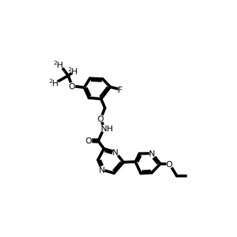 [2H]C([2H])([2H])Oc1ccc(F)c(CONC(=O)c2cncc(-c3ccc(OCC)nc3)n2)c1